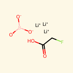 O=C(O)CF.[Li+].[Li+].[Li+].[O-]B([O-])[O-]